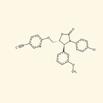 [C-]#[N+]c1ccc(OC[C@@H]2OC(=O)N(c3ccc(Cl)cc3)[C@H]2c2cccc(OC)c2)nc1